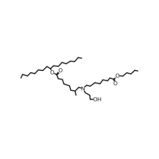 CCCCCCCCC(CCCCCCCC)OC(=O)CCCCCC(C)CN(CCCO)CCCCCCCC(=O)OCCCCC